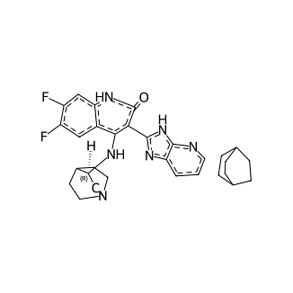 C1CC2CCC1CC2.O=c1[nH]c2cc(F)c(F)cc2c(N[C@H]2CN3CCC2CC3)c1-c1nc2cccnc2[nH]1